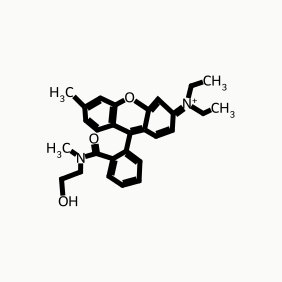 CC[N+](CC)=c1ccc2c(-c3ccccc3C(=O)N(C)CCO)c3ccc(C)cc3oc-2c1